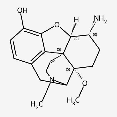 CO[C@@]12CC[C@@H](N)[C@@H]3Oc4c(O)ccc5c4[C@@]31CCN(C)C2C5